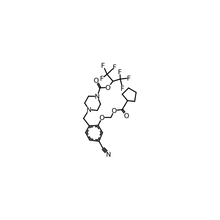 N#Cc1ccc(CN2CCN(C(=O)OC(C(F)(F)F)C(F)(F)F)CC2)c(OCOC(=O)C2CCCC2)c1